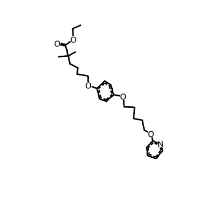 CCOC(=O)C(C)(C)CCCCOc1ccc(OCCCCCOc2ccccn2)cc1